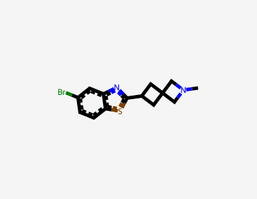 CN1CC2(CC(c3nc4cc(Br)ccc4s3)C2)C1